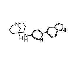 c1cc2cc(-c3ccc(N[C@H]4CCN5CCC[C@@H]4C5)cn3)ccc2[nH]1